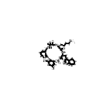 CN1C(=O)[C@H](CCCCN)NC(=O)C(C)(C)NCc2cccnc2Sc2c(Cl)cc(Cl)cc2CNC(=O)C1Cc1c[nH]c2ccccc12